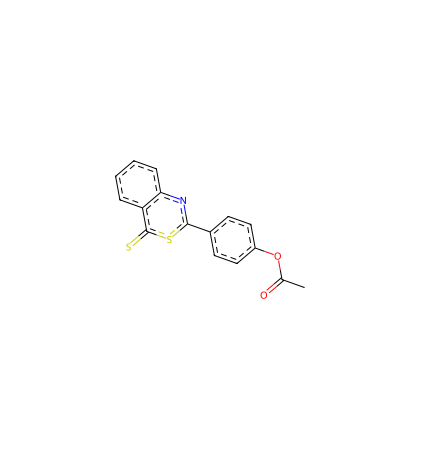 CC(=O)Oc1ccc(-c2nc3ccccc3c(=S)s2)cc1